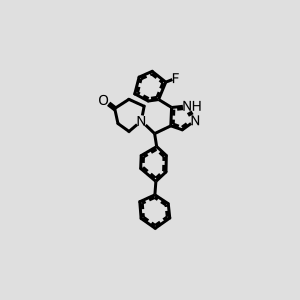 O=C1CCN(C(c2ccc(-c3ccccc3)cc2)c2cn[nH]c2-c2ccccc2F)CC1